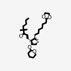 CCCCC(C)(C)C(=O)C=C[C@H]1[C@H](OC2CCCCO2)CS[C@@H]1CCCCCCC1OCCO1